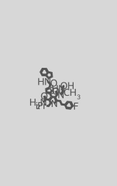 C/C(=N/C(=O)c1c(CCc2ccc(F)cc2)nc(CC(C)C)c(C(N)=O)c1-c1ccc(C(=O)N[C@@H]2CCc3ccccc32)s1)NO